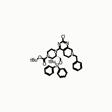 CC(C)(C)OC(=O)N1CCN(c2nc(Cl)nc3c2CCN(Cc2ccccc2)C3)[C@H](CO[Si](c2ccccc2)(c2ccccc2)C(C)(C)C)C1